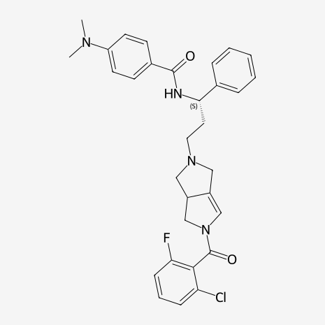 CN(C)c1ccc(C(=O)N[C@@H](CCN2CC3=CN(C(=O)c4c(F)cccc4Cl)CC3C2)c2ccccc2)cc1